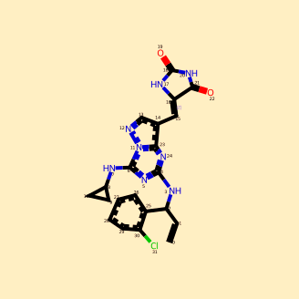 C=CC(Nc1nc(NC2CC2)n2ncc(/C=C3\NC(=O)NC3=O)c2n1)c1ccccc1Cl